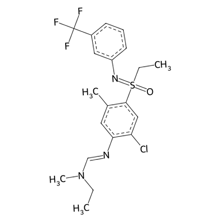 CCN(C)C=Nc1cc(C)c(S(=O)(CC)=Nc2cccc(C(F)(F)F)c2)cc1Cl